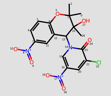 CC1(C)Oc2ccc([N+](=O)[O-])cc2C(n2cc([N+](=O)[O-])cc(Cl)c2=O)C1(C)O